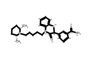 C[C@@H]1CCC[C@H](C)N1CCCCCN1C(=O)C(c2cccc(C(N)=S)c2)Sc2ccccc21